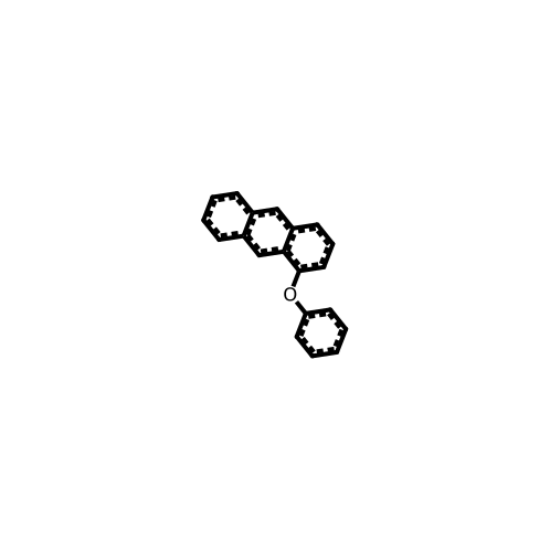 c1ccc(Oc2cccc3cc4ccccc4cc23)cc1